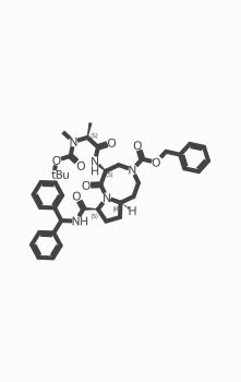 C[C@@H](C(=O)N[C@H]1CN(C(=O)OCc2ccccc2)CC[C@H]2CC[C@@H](C(=O)NC(c3ccccc3)c3ccccc3)N2C1=O)N(C)C(=O)OC(C)(C)C